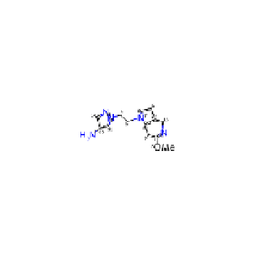 COc1cc2c(ccn2CCn2cc(N)cn2)cn1